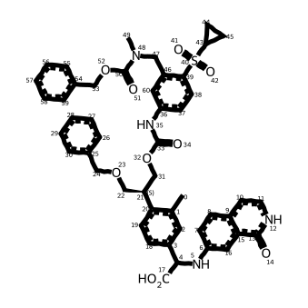 Cc1cc(C(Nc2ccc3cc[nH]c(=O)c3c2)C(=O)O)ccc1[C@@H](COCc1ccccc1)COC(=O)Nc1ccc(S(=O)(=O)C2CC2)c(CN(C)C(=O)OCc2ccccc2)c1